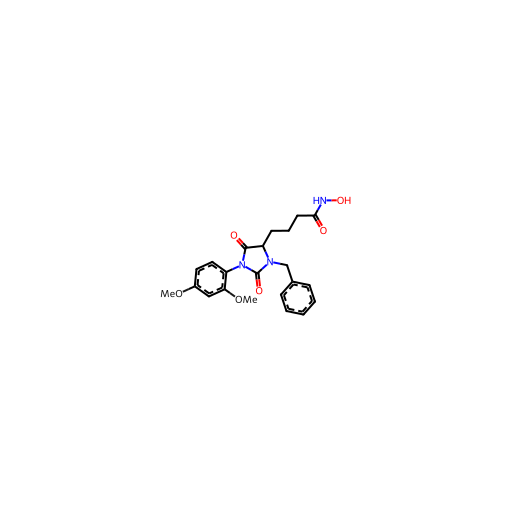 COc1ccc(N2C(=O)C(CCCC(=O)NO)N(Cc3ccccc3)C2=O)c(OC)c1